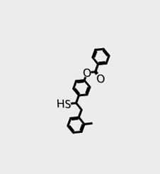 Cc1ccccc1CC(S)c1ccc(OC(=O)c2ccccc2)cc1